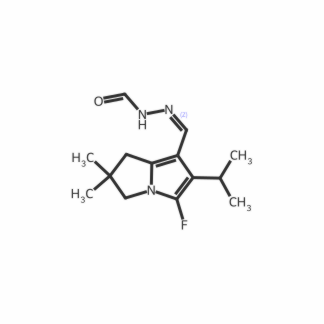 CC(C)c1c(/C=N\NC=O)c2n(c1F)CC(C)(C)C2